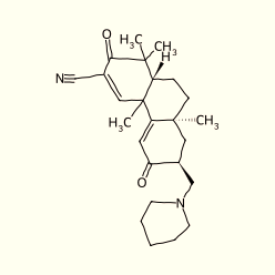 CC1(C)C(=O)C(C#N)=CC2(C)C3=CC(=O)[C@H](CN4CCCCC4)C[C@]3(C)CC[C@@H]12